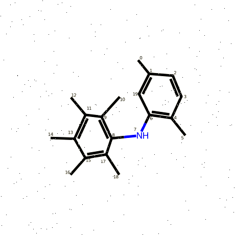 Cc1ccc(C)c(Nc2c(C)c(C)c(C)c(C)c2C)c1